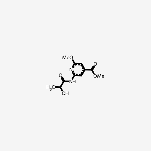 COC(=O)c1cc(NC(=O)C(C)O)nc(OC)c1